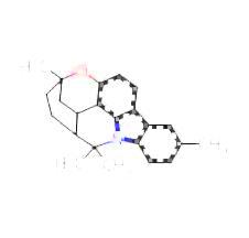 Cc1ccc2c(c1)c1ccc3c4c1n2C(C)(C)C1CCC(C)(CC41)O3